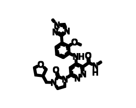 CNC(=O)c1nnc(N2CCN(CC3CCOC3)C2=O)cc1Nc1cccc(-c2ncn(C)n2)c1OC